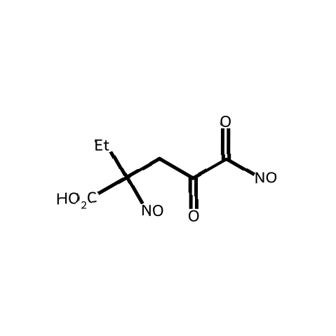 CCC(CC(=O)C(=O)N=O)(N=O)C(=O)O